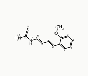 COc1ccccc1C=CC=NNC(N)=S